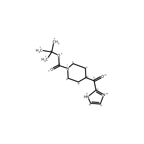 CC(C)(C)OC(=O)N1CCC(C(=O)c2ncc[nH]2)CC1